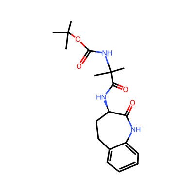 CC(C)(C)OC(=O)NC(C)(C)C(=O)N[C@@H]1CCc2ccccc2NC1=O